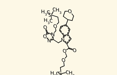 C[Si](C)(C)CCOCOC(=O)c1cc2cc(C3CCOCC3)ccc2n1Cc1noc(=O)n1COCC[Si](C)(C)C